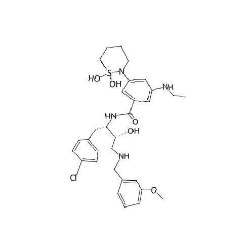 CCNc1cc(C(=O)N[C@@H](Cc2ccc(Cl)cc2)[C@H](O)CNCc2cccc(OC)c2)cc(N2CCCCS2(O)O)c1